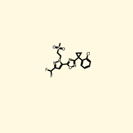 CS(=O)(=O)CCn1nc(C(F)F)cc1-c1nc(C2(c3ccccc3Cl)CC2)no1